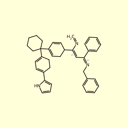 C=N/C(=C\C(=N/Cc1ccccc1)c1ccccc1)C1C=CC(C2(C3=CC=C(c4ccc[nH]4)CC3)CCCCC2)=CC1